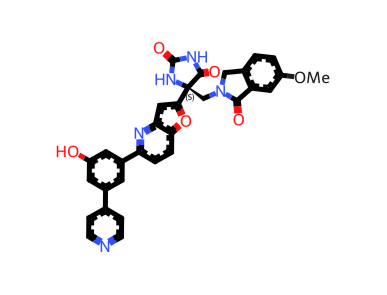 COc1ccc2c(c1)C(=O)N(C[C@@]1(c3cc4nc(-c5cc(O)cc(-c6ccncc6)c5)ccc4o3)NC(=O)NC1=O)C2